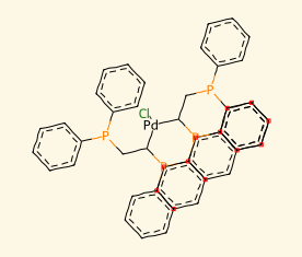 [Cl][Pd]([CH](CP(c1ccccc1)c1ccccc1)P(c1ccccc1)c1ccccc1)[CH](CP(c1ccccc1)c1ccccc1)P(c1ccccc1)c1ccccc1